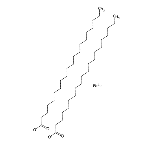 CCCCCCCCCCCCCCCCCCCC(=O)[O-].CCCCCCCCCCCCCCCCCCCC(=O)[O-].[Pb+2]